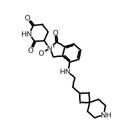 O=C1CCC([N+]2([O-])Cc3c(NCCC4CC5(CCNCC5)C4)cccc3C2=O)C(=O)N1